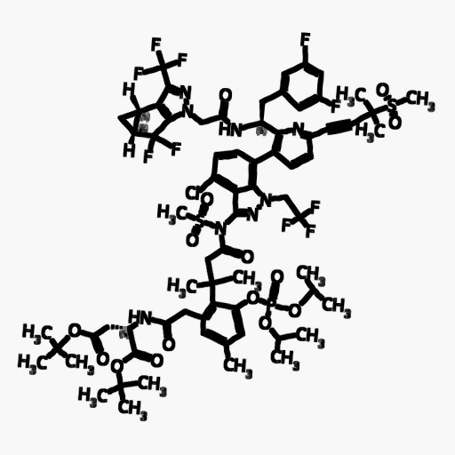 Cc1cc(CC(=O)N[C@@H](CC(=O)OC(C)(C)C)C(=O)OC(C)(C)C)c(C(C)(C)CC(=O)N(c2nn(CC(F)(F)F)c3c(-c4ccc(C#CC(C)(C)S(C)(=O)=O)nc4[C@H](Cc4cc(F)cc(F)c4)NC(=O)Cn4nc(C(F)(F)F)c5c4C(F)(F)[C@@H]4C[C@H]54)ccc(Cl)c23)S(C)(=O)=O)c(OP(=O)(OC(C)C)OC(C)C)c1